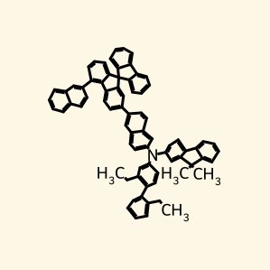 CCc1ccccc1-c1ccc(N(c2ccc3c(c2)C(C)(C)c2ccccc2-3)c2ccc3cc(-c4ccc5c(c4)C4(c6ccccc6-c6ccccc64)c4cccc(-c6ccc7ccccc7c6)c4-5)ccc3c2)cc1CC